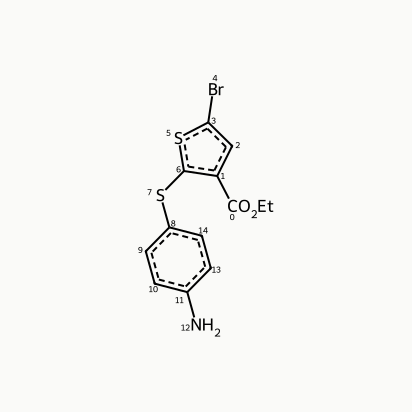 CCOC(=O)c1cc(Br)sc1Sc1ccc(N)cc1